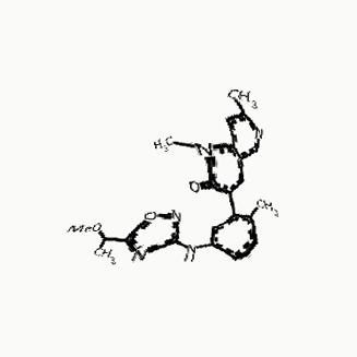 COC(C)c1nc(Nc2ccc(C)c(-c3cc4cnc(C)cc4n(C)c3=O)c2)no1